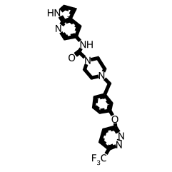 O=C(Nc1cnc2[nH]ccc2c1)N1CCN(Cc2cccc(Oc3ccc(C(F)(F)F)nn3)c2)CC1